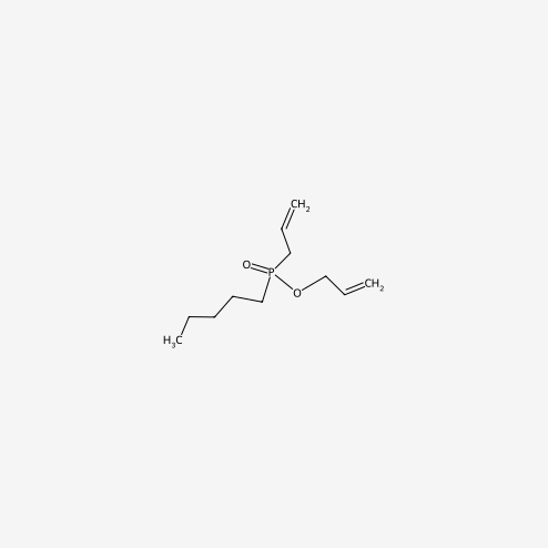 C=CCOP(=O)(CC=C)CCCCC